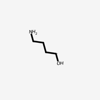 NCCC[CH]O